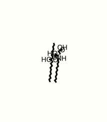 CCCCCCCCCCCC(=O)N[C@@H](CCC(=O)O)C(=O)O.CCCCCCCCCCCC(O)CCCCCCCC